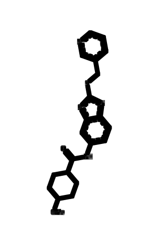 COC1CCC(C(=O)Nc2ccc3nc(SCc4cccnc4)sc3c2)CC1